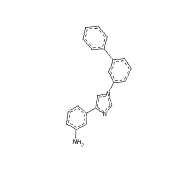 Nc1cccc(-c2cn(-c3cccc(-c4ccccc4)c3)cn2)c1